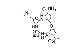 CCC(C)[C@@H]1NC(=O)c2cc(N[Si](C)=O)ccc2OCc2ccc(C(N)=O)cc2NC(=O)C(CCCCN)NC1=O